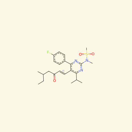 CCC(C)CC(=O)/C=C/c1c(-c2ccc(F)cc2)nc(N(C)S(C)(=O)=O)nc1C(C)C